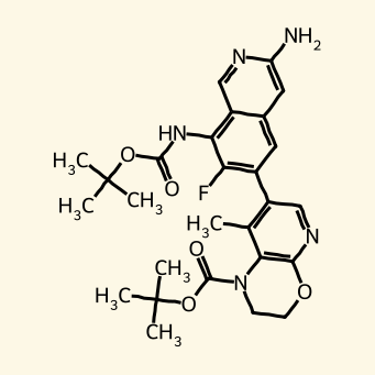 Cc1c(-c2cc3cc(N)ncc3c(NC(=O)OC(C)(C)C)c2F)cnc2c1N(C(=O)OC(C)(C)C)CCO2